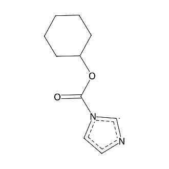 O=C(OC1CCCCC1)n1[c]ncc1